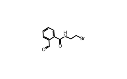 O=Cc1ccccc1C(=O)NCCBr